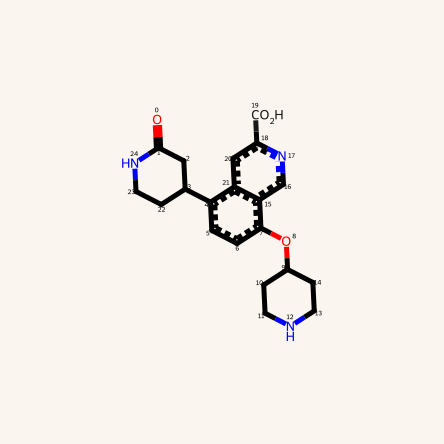 O=C1CC(c2ccc(OC3CCNCC3)c3cnc(C(=O)O)cc23)CCN1